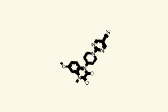 COc1ccc2c(c1)n(C)c(=O)c(=O)n2C1CCN(c2ncc(C#N)cn2)CC1